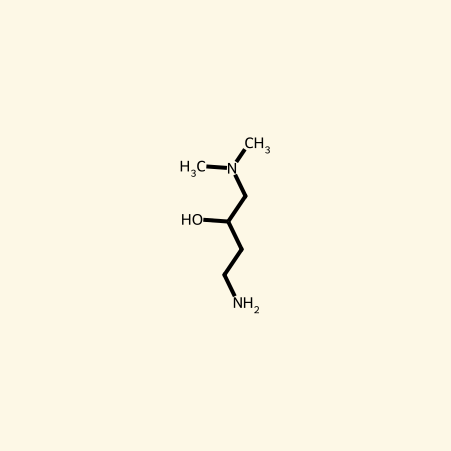 CN(C)CC(O)CCN